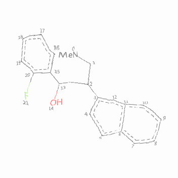 CNCC(c1ccc2ccccc2c1)C(O)c1ccccc1F